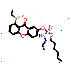 CCCCCCSP(=O)(NCCC)Oc1ccc2oc3cccc([S+]([O-])CC)c3c(=O)c2c1